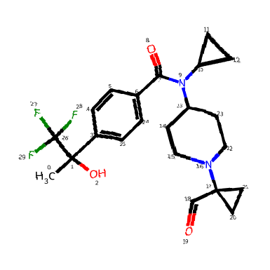 CC(O)(c1ccc(C(=O)N(C2CC2)C2CCN(C3(C=O)CC3)CC2)cc1)C(F)(F)F